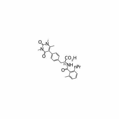 CCCc1cccc(C)c1C(=O)N[C@@H](Cc1ccc(-c2c(C)n(C)c(=O)n(C)c2=O)cc1)C(=O)O